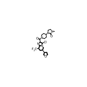 CN1CCN(C2CCN(C(=O)c3nc4c(C(F)(F)F)cc(-c5ccoc5)cn4c3Cl)CC2)C1=O